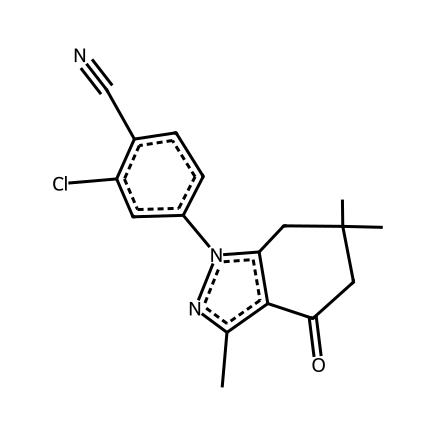 Cc1nn(-c2ccc(C#N)c(Cl)c2)c2c1C(=O)CC(C)(C)C2